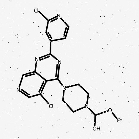 CCOC(O)N1CCN(c2nc(-c3ccnc(Cl)c3)nc3cncc(Cl)c23)CC1